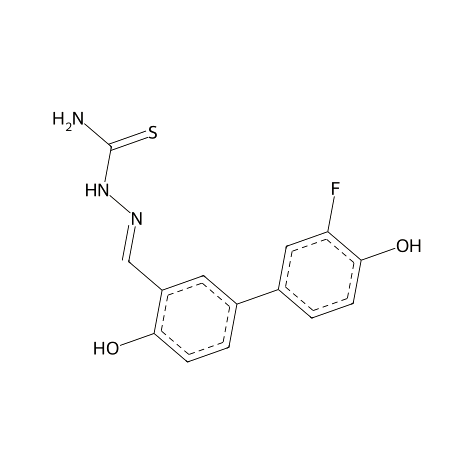 NC(=S)NN=Cc1cc(-c2ccc(O)c(F)c2)ccc1O